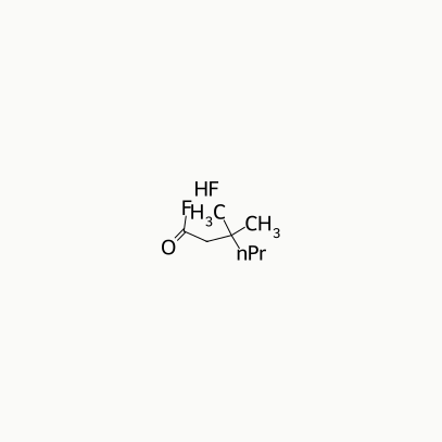 CCCC(C)(C)CC(=O)F.F